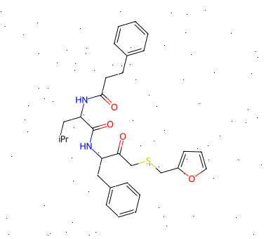 CC(C)CC(NC(=O)CCc1ccccc1)C(=O)NC(Cc1ccccc1)C(=O)CSCc1ccco1